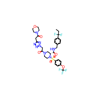 CCC(F)(F)c1ccc(CNC(=O)[C@H]2CN(C(=O)Cn3nnc(CC(=O)N4CCOCC4)n3)CCN2S(=O)(=O)c2ccc(OC(F)(F)F)cc2)cc1